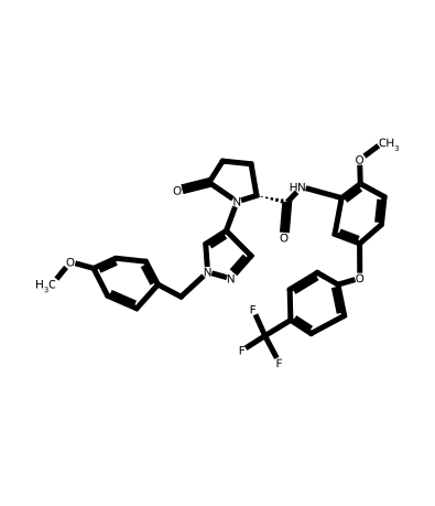 COc1ccc(Cn2cc(N3C(=O)CC[C@@H]3C(=O)Nc3cc(Oc4ccc(C(F)(F)F)cc4)ccc3OC)cn2)cc1